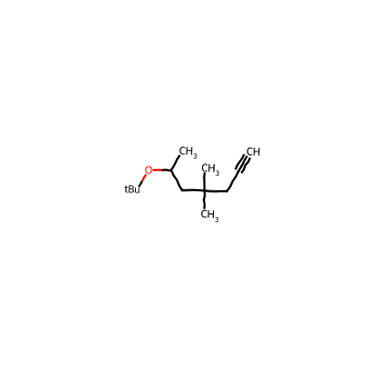 C#CCC(C)(C)CC(C)OC(C)(C)C